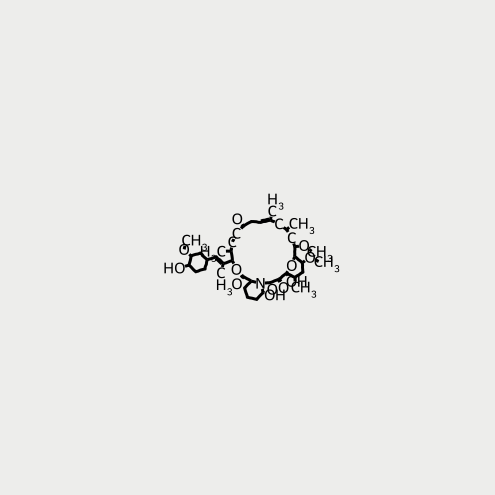 COC1CC(C=C(C)C2OC(=O)C3CCCC(O)N3C(=O)C(=O)C3(O)OC(C(OC)CC(C)C/C(C)=C/CC(=O)CCC2C)C(OC)CC3C)CCC1O